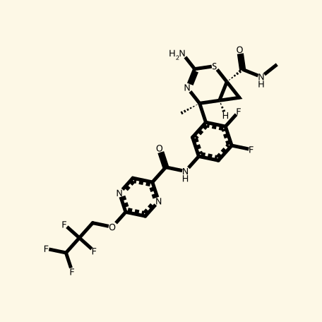 CNC(=O)[C@]12C[C@H]1[C@@](C)(c1cc(NC(=O)c3cnc(OCC(F)(F)C(F)F)cn3)cc(F)c1F)N=C(N)S2